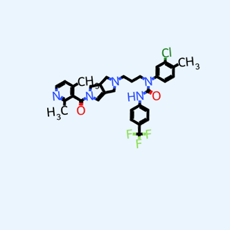 Cc1ccc(N(CCCN2CC3=CN(C(=O)c4c(C)ccnc4C)CC3C2)C(=O)Nc2ccc(C(F)(F)F)cc2)cc1Cl